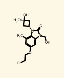 CC(C)CCOc1cc(C(F)(F)F)c2c(c1)n(CO)c(=O)n2[C@H]1C[C@@](C)(O)C1